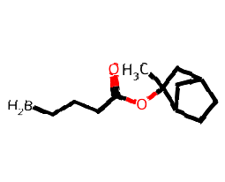 BCCCC(=O)OC1(C)CC2CCC1C2